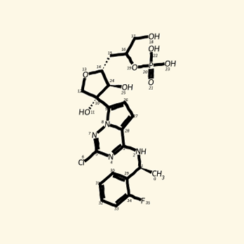 C[C@H](Nc1nc(Cl)nn2c([C@@]3(O)CO[C@H](CC(CO)OP(=O)(O)O)[C@H]3O)ccc12)c1ccccc1F